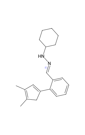 CC1=C(C)CC(c2ccccc2/C=N/NC2CCCCC2)=C1